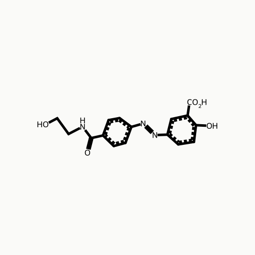 O=C(NCCO)c1ccc(N=Nc2ccc(O)c(C(=O)O)c2)cc1